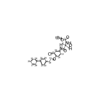 CC(C)(C)OC(=O)NC(C)(CO)C(=O)Nc1ccc(OCCc2ccc(-c3ccccc3)cc2)c(Cl)c1